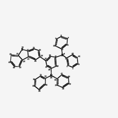 c1ccc(N(c2ccccc2)c2cc(-c3ccc4sc5ccccc5c4c3)cc(N(c3ccccc3)c3ccccc3)c2)cc1